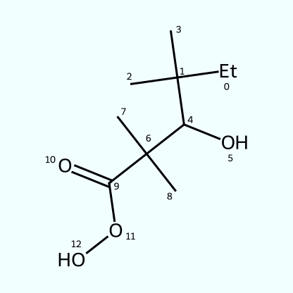 CCC(C)(C)C(O)C(C)(C)C(=O)OO